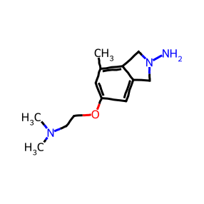 Cc1cc(OCCN(C)C)cc2c1CN(N)C2